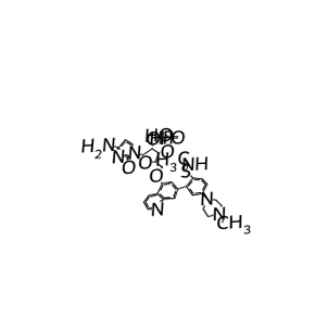 CNSc1ccc(N2CCN(C)CC2)cc1-c1cc(OC[C@H]2O[C@@H](n3ccc(N)nc3=O)[C@H](O)[C@@H]2O[PH](=O)O)c2cccnc2c1